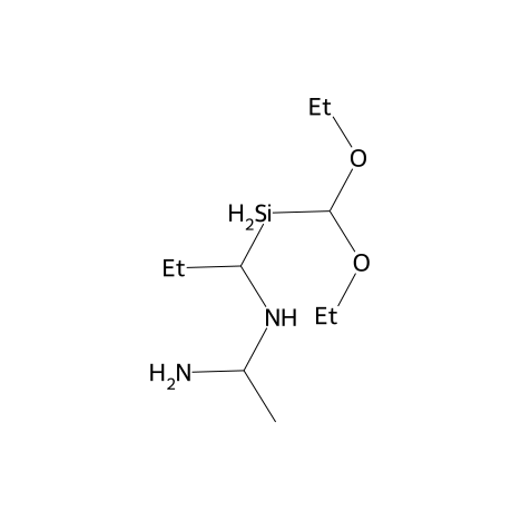 CCOC(OCC)[SiH2]C(CC)NC(C)N